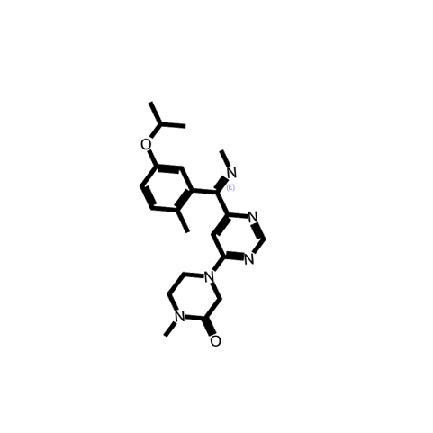 C/N=C(/c1cc(N2CCN(C)C(=O)C2)ncn1)c1cc(OC(C)C)ccc1C